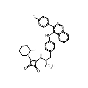 C[C@H]1CCCCN1c1c(NC(Cc2ccc(Nc3c(-c4ccc(F)cc4)ncc4ccccc34)cc2)C(=O)O)c(=O)c1=O